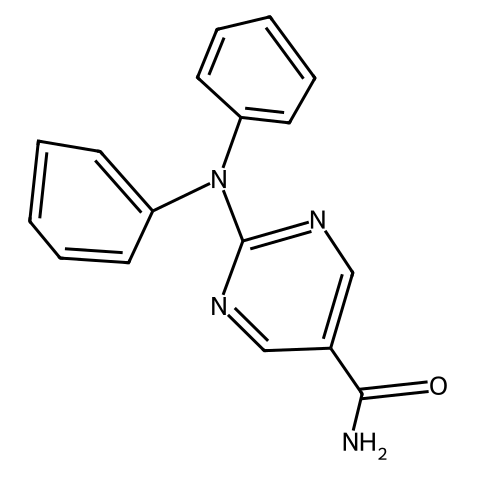 NC(=O)c1cnc(N(c2ccccc2)c2ccccc2)nc1